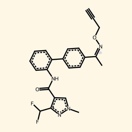 C#CCO/N=C(/C)c1ccc(-c2ccccc2NC(=O)c2cn(C)nc2C(F)F)cc1